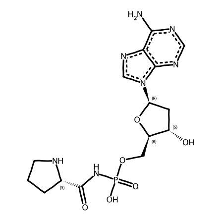 Nc1ncnc2c1ncn2[C@H]1C[C@H](O)[C@@H](COP(=O)(O)NC(=O)[C@@H]2CCCN2)O1